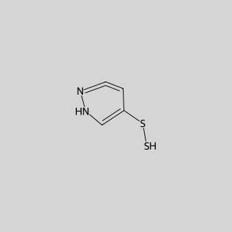 SSC1=CNN=C=C1